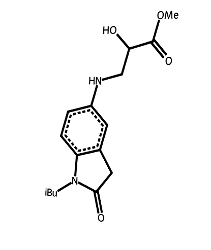 CCC(C)N1C(=O)Cc2cc(NCC(O)C(=O)OC)ccc21